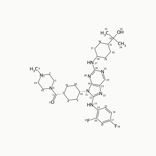 CN1CCN(C(=O)[C@H]2CC[C@@H](n3c(Nc4ccc(F)cc4F)nc4cnc(NC5CCC(C(C)(C)O)CC5)nc43)CC2)CC1